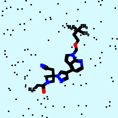 CCC(=O)N1CC(CC#N)(n2cc(-c3ccnc4c3ccn4COCC[Si](C)(C)C)cn2)C1